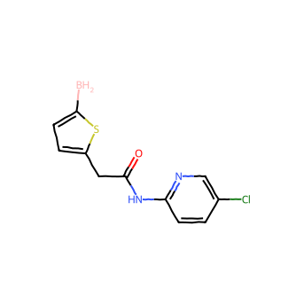 Bc1ccc(CC(=O)Nc2ccc(Cl)cn2)s1